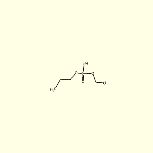 CCCOP(=O)(O)OCCl